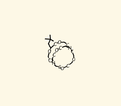 CC(C)(C)CC1COCCN2CCOCCOCCN(CCOCC2)CCO1